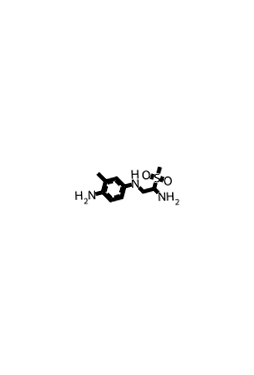 Cc1cc(NCC(N)S(C)(=O)=O)ccc1N